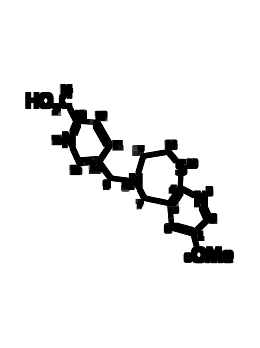 COc1cnc2c(c1)CN(Cc1ccc(C(=O)O)nc1)CCS2